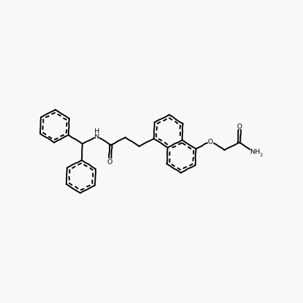 NC(=O)COc1cccc2c(CCC(=O)NC(c3ccccc3)c3ccccc3)cccc12